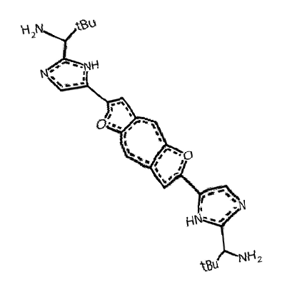 CC(C)(C)C(N)c1ncc(-c2cc3cc4oc(-c5cnc(C(N)C(C)(C)C)[nH]5)cc4cc3o2)[nH]1